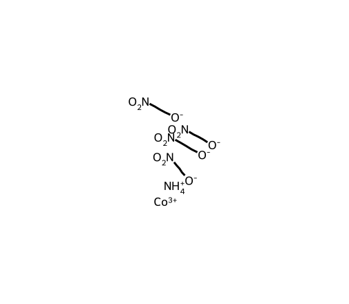 O=[N+]([O-])[O-].O=[N+]([O-])[O-].O=[N+]([O-])[O-].O=[N+]([O-])[O-].[Co+3].[NH4+]